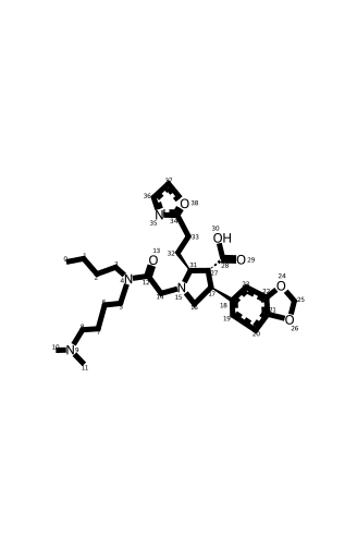 CCCCN(CCCCN(C)C)C(=O)CN1C[C@H](c2ccc3c(c2)OCO3)[C@@H](C(=O)O)[C@@H]1CCc1ncco1